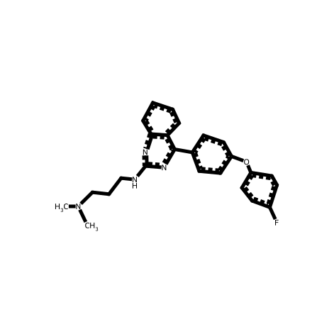 CN(C)CCCNc1nc(-c2ccc(Oc3ccc(F)cc3)cc2)c2ccccc2n1